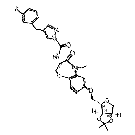 CN1C(=O)[C@@H](NC(=O)n2cc(Cc3cccc(F)c3)cn2)COc2ccc(OC[C@@H]3OC[C@H]4OC(C)(C)O[C@@H]34)cc21